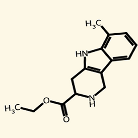 CCOC(=O)C1Cc2[nH]c3c(C)cccc3c2CN1